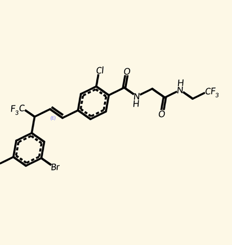 O=C(CNC(=O)c1ccc(/C=C/C(c2cc(Br)cc(Br)c2)C(F)(F)F)cc1Cl)NCC(F)(F)F